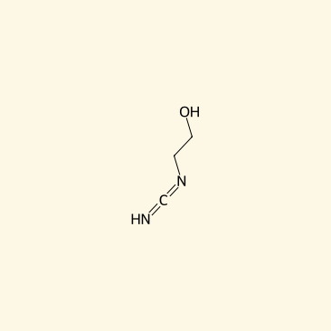 N=C=NCCO